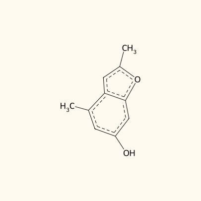 Cc1cc2c(C)cc(O)cc2o1